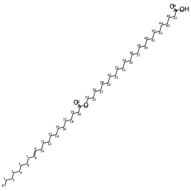 CCCCCCCCC=CCCCCCCCCCCCC(=O)OCCCCCCCCCCCCCCCCCCCCCCCCC(=O)O